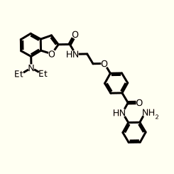 CCN(CC)c1cccc2cc(C(=O)NCCOc3ccc(C(=O)Nc4ccccc4N)cc3)oc12